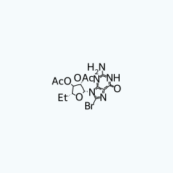 CC[C@H]1O[C@@H](n2c(Br)nc3c(=O)[nH]c(N)nc32)[C@@H](OC(C)=O)C1OC(C)=O